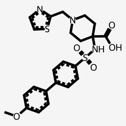 COc1ccc(-c2ccc(S(=O)(=O)NC3(C(=O)O)CCN(Cc4nccs4)CC3)cc2)cc1